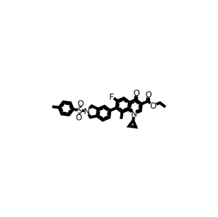 CCOC(=O)c1cn(C2CC2)c2c(C)c(-c3ccc4c(c3)CN(S(=O)(=O)c3ccc(C)cc3)C4)c(F)cc2c1=O